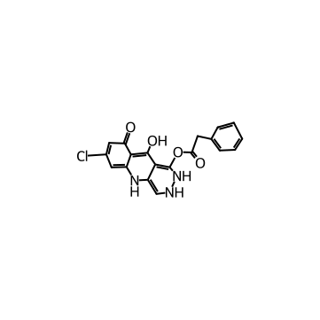 O=C(Cc1ccccc1)OC1=c2c(O)c3c(=O)cc(Cl)cc-3[nH]c2=CNN1